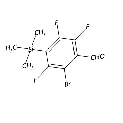 C[Si](C)(C)c1c(F)c(F)c(C=O)c(Br)c1F